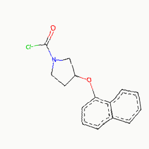 O=C(Cl)N1CCC(Oc2cccc3ccccc23)C1